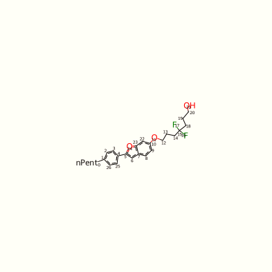 CCCCCc1ccc(-c2cc3ccc(OCCCC(F)(F)CCCO)cc3o2)cc1